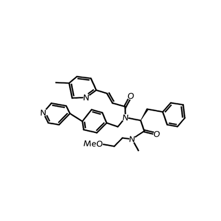 COCCN(C)C(=O)[C@H](Cc1ccccc1)N(Cc1ccc(-c2ccncc2)cc1)C(=O)C=Cc1ccc(C)cn1